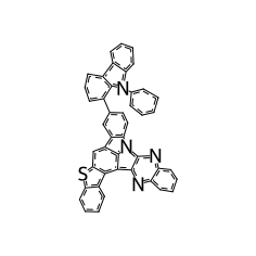 c1ccc(-n2c3ccccc3c3cccc(-c4ccc5c(c4)c4cc6sc7ccccc7c6c6c7nc8ccccc8nc7n5c46)c32)cc1